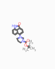 CC(C)(C)OC(=O)N1CCCN(c2ccc3c4c(cccc24)NC3=O)C1